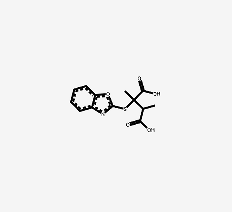 CC(C(=O)O)C(C)(Sc1nc2ccccc2o1)C(=O)O